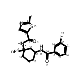 CCCC1(NC(=O)c2cnc(C)s2)CCCC(NC(=O)c2cccc(F)c2)C1